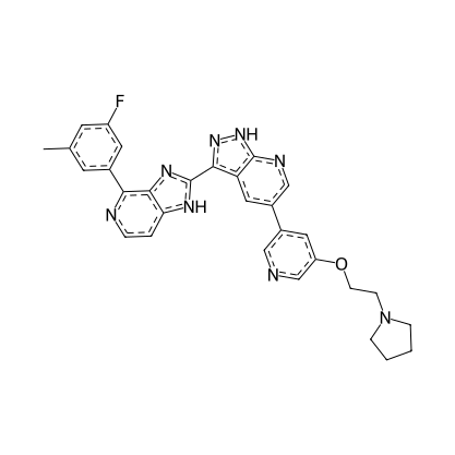 Cc1cc(F)cc(-c2nccc3[nH]c(-c4n[nH]c5ncc(-c6cncc(OCCN7CCCC7)c6)cc45)nc23)c1